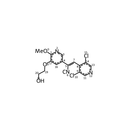 COc1ncc(/C(C#N)=C/c2c(Cl)cncc2Cl)cc1OCCO